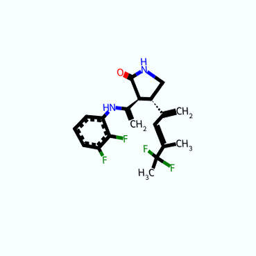 C=C(Nc1cccc(F)c1F)[C@H]1C(=O)NC[C@@H]1C(=C)/C=C(\C)C(C)(F)F